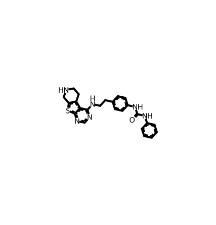 O=C(Nc1ccccc1)Nc1ccc(CCNc2ncnc3sc4c(c23)CCNC4)cc1